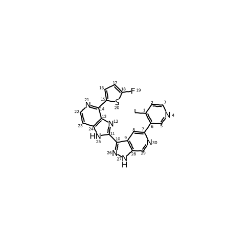 Cc1ccncc1-c1cc2c(-c3nc4c(-c5ccc(F)s5)nccc4[nH]3)n[nH]c2cn1